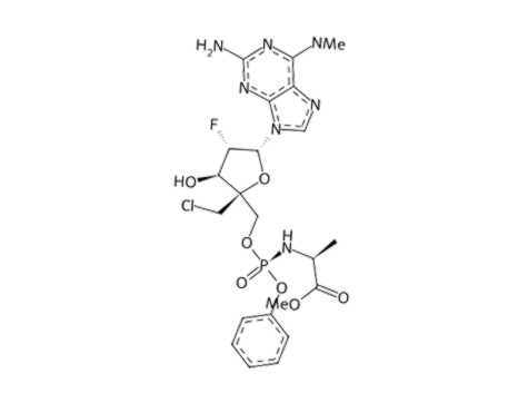 CNc1nc(N)nc2c1ncn2[C@@H]1O[C@](CCl)(CO[P@](=O)(N[C@@H](C)C(=O)OC)Oc2ccccc2)[C@@H](O)[C@@H]1F